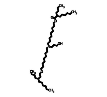 CCCCCCC(CCCC)CCOCCCCCCCCCN(CCCO)CCCCCCCCCOC(=O)C(CCCC)CCCCCC